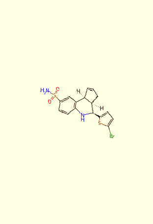 NS(=O)(=O)c1ccc2c(c1)[C@H]1C=CC[C@H]1[C@@H](c1ccc(Br)s1)N2